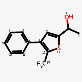 CC(O)c1cc(-c2ccccc2)c(C(F)(F)F)s1